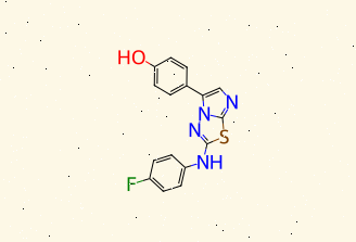 Oc1ccc(-c2cnc3sc(Nc4ccc(F)cc4)nn23)cc1